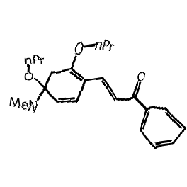 CCCOC1=C(C=CC(=O)c2ccccc2)C=CC(NC)(OCCC)C1